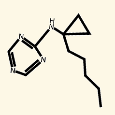 CCCCCC1(Nc2ncncn2)CC1